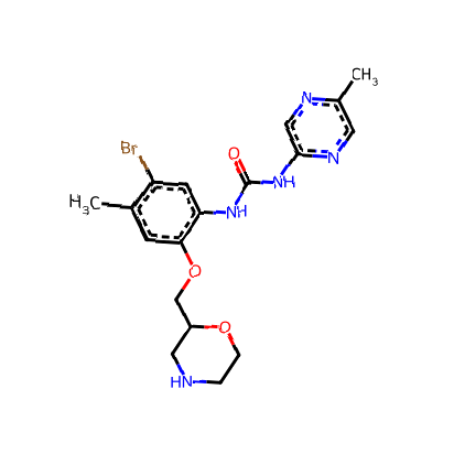 Cc1cnc(NC(=O)Nc2cc(Br)c(C)cc2OCC2CNCCO2)cn1